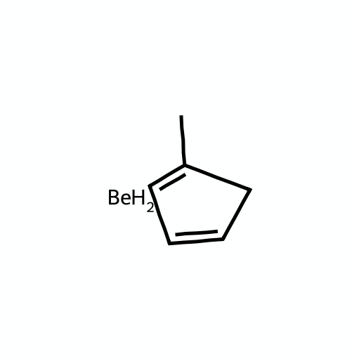 CC1=CC=CC1.[BeH2]